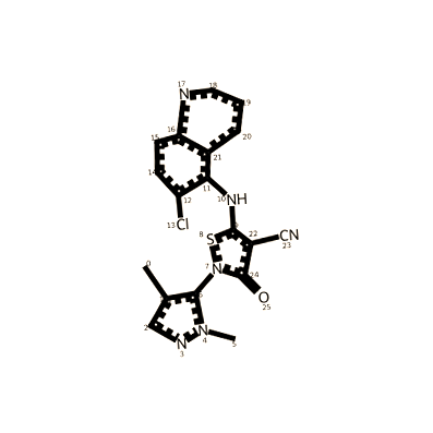 Cc1cnn(C)c1-n1sc(Nc2c(Cl)ccc3ncccc23)c(C#N)c1=O